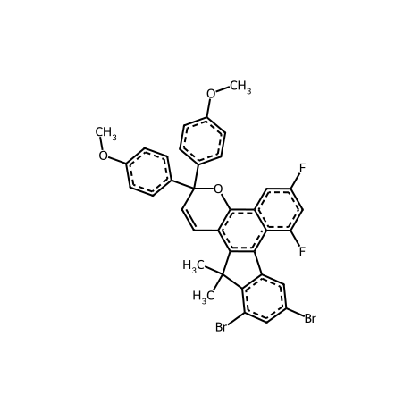 COc1ccc(C2(c3ccc(OC)cc3)C=Cc3c4c(c5c(F)cc(F)cc5c3O2)-c2cc(Br)cc(Br)c2C4(C)C)cc1